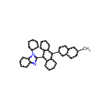 Cc1ccc2cc(-c3c4ccccc4c(-c4nc5ccccc5n4-c4ccccc4)c4ccccc34)ccc2c1